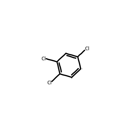 Clc1[c][c]c(Cl)c(Cl)c1